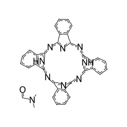 CN(C)C=O.c1ccc2c(c1)-c1nc-2nc2[nH]c(nc3nc(nc4[nH]c(n1)c1ccccc41)-c1ccccc1-3)c1ccccc21